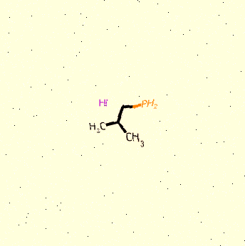 CC(C)CP.I